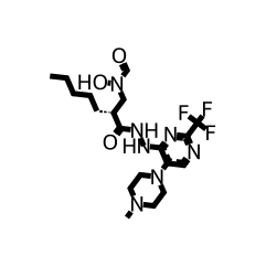 CCCCC[C@H](CN(O)C=O)C(=O)NNc1nc(C(F)(F)F)ncc1N1CCN(C)CC1